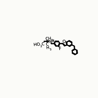 CC(C)(CC(=O)O)NCc1ccc(-c2cc3cc(Cc4ccccc4)ccc3o2)c(F)c1